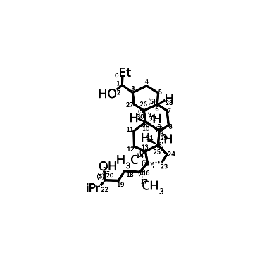 CCC(O)C1CC[C@@H]2CC[C@@H]3[C@H](CC[C@]4(C)[C@@H]([C@H](C)CC[C@H](O)C(C)C)CC[C@@H]34)[C@H]2C1